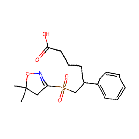 CC1(C)CC(S(=O)(=O)CC(CCCC(=O)O)c2ccccc2)=NO1